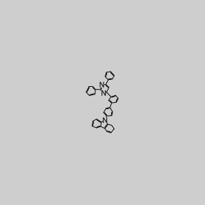 C1=Cc2c(n(-c3ccc(-c4cccc(-c5cc(-c6ccccc6)nc(-c6ccccc6)n5)c4)cc3)c3ccccc23)CC1